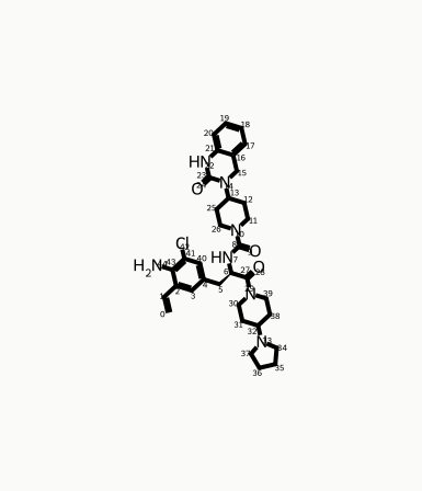 C=Cc1cc(C[C@@H](NC(=O)N2CCC(N3Cc4ccccc4NC3=O)CC2)C(=O)N2CCC(N3CCCC3)CC2)cc(Cl)c1N